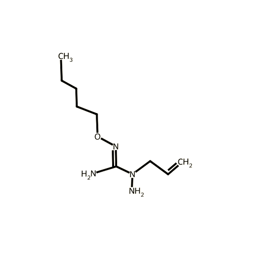 C=CCN(N)C(N)=NOCCCCC